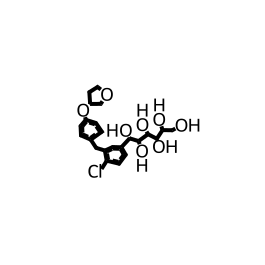 OCC(O)[C@@H](O)C(O)C(O)C(O)c1ccc(Cl)c(Cc2ccc(OC3CCOC3)cc2)c1